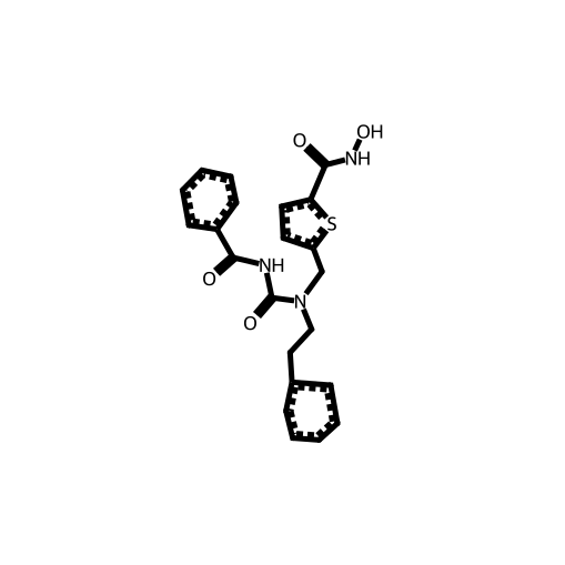 O=C(NC(=O)N(CCc1ccccc1)Cc1ccc(C(=O)NO)s1)c1ccccc1